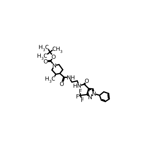 CC1CN(C(=O)OC(C)(C)C)CCC1C(=O)NCCNC(=O)c1cn(C2C=CC=CC2)nc1C(F)(F)F